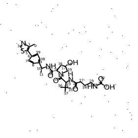 Cc1ncsc1-c1ccc([C@H](C)NC(=O)[C@@H]2C[C@@H](O)CN2C(=O)C(NC(=O)CCCNC(=O)O)C(C)(C)C)cc1